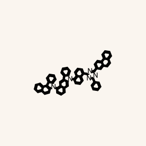 c1ccc(-c2nc(-c3ccc4c(ccc5ccccc54)c3)nc(-c3cccc4c(-n5c6ccccc6c6cc7c(-n8c9ccccc9c9c%10ccccc%10ccc98)cccc7cc65)cccc34)n2)cc1